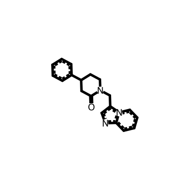 O=C1CC(c2ccccc2)CCN1Cc1cnc2ccccn12